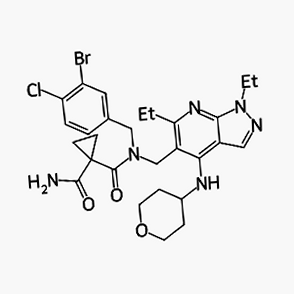 CCc1nc2c(cnn2CC)c(NC2CCOCC2)c1CN(Cc1ccc(Cl)c(Br)c1)C(=O)C1(C(N)=O)CC1